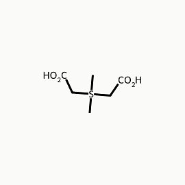 CS(C)(CC(=O)O)CC(=O)O